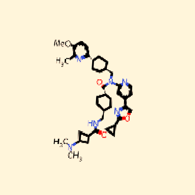 COc1ccc([C@H]2CC[C@H](CN(c3cc(-c4coc(C5CC5)n4)ccn3)C(=O)[C@H]3CC[C@H](CNC(=O)C4CC(N(C)C)C4)CC3)CC2)nc1C